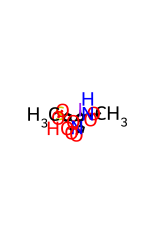 CCOC(=O)Nc1cc(C2CCC(=O)N2CC(=O)O)c(Oc2ccc(S(=O)(=O)CC)cc2)cc1I